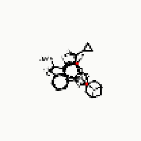 COC(=O)c1cc(F)c2nc(N3C4CC(NCc5c(-c6c(Cl)cccc6Cl)noc5C5CC5)CC3C4)sc2c1